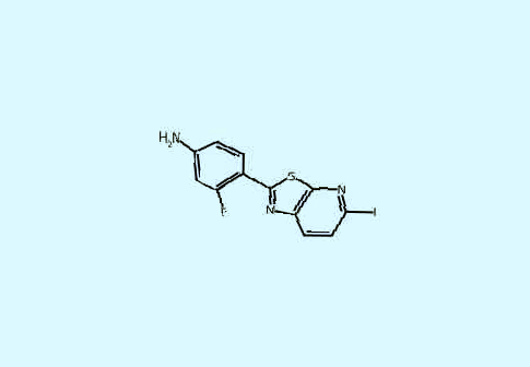 Nc1ccc(-c2nc3ccc(I)nc3s2)c(F)c1